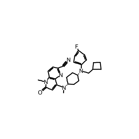 Cn1c(=O)cc(N(C)[C@H]2CC[C@@H](N(CC3CCC3)c3ccc(F)cc3)CC2)c2nc(C#N)ccc21